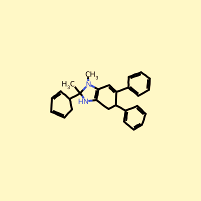 CN1C2=C(CC(c3ccccc3)C(c3ccccc3)=C2)NC1(C)C1C=CC=CC1